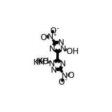 O=[N+]([O-])c1nc(-c2nc([N+](=O)[O-])nn2O)n(O)n1.[KH].[KH]